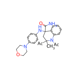 CC(=O)N1c2ccccc2C(Nc2ccc(N3CCOCC3)cc2)(C(N)=O)CC1(C)C(C)=O